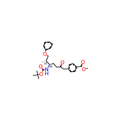 COC(=O)c1ccc(CC(=O)CC[C@@H](NC(=O)OC(C)(C)C)[C@H](C)COc2ccccc2)cc1